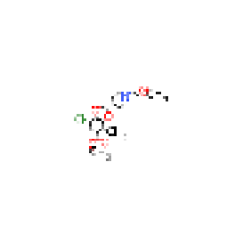 COCCN1CCC([C@H]2COc3c(Cl)cc(C(=O)OC)c(C)c3O2)CC1